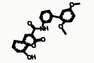 COc1ccc(OC)c(-c2cccc(NC(=O)c3cc4cccc(O)c4oc3=O)c2)c1